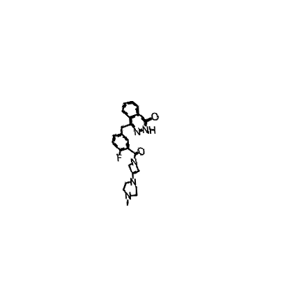 CN1CCN(C2CN(C(=O)c3cc(Cc4n[nH]c(=O)c5ccccc45)ccc3F)C2)CC1